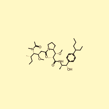 CCCC(CC)c1ccc([C@H](O)[C@@H](C)NC(=O)[C@H](C)[C@@H](OC)[C@@H]2CCCN2C(=O)C[C@@H](OC)[C@H]([C@@H](C)CC)N(C)C(C)=O)cc1